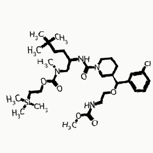 COC(=O)NCCOC(c1cccc(Cl)c1)[C@@H]1CCCN(C(=O)NC(CCC(C)(C)C)CN(C)C(=O)OCC[Si](C)(C)C)C1